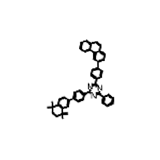 CC1(C)CCC(C)(C)c2cc(-c3ccc(-c4nc(-c5ccccc5)nc(-c5ccc(-c6ccc7ccc8ccccc8c7c6)cc5)n4)cc3)ccc21